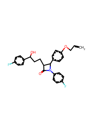 C=CCOc1ccc(C2C(CCC(O)c3ccc(F)cc3)C(=O)N2c2ccc(F)cc2)cc1